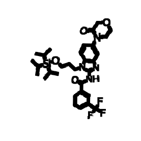 CC(C)[Si](OCCCn1c(NC(=O)c2cccc(C(F)(F)F)c2)nc2cc(N3CCOCC3=O)ccc21)(C(C)C)C(C)C